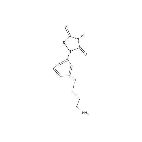 Cn1c(=O)sn(-c2cccc(OCCCN)c2)c1=O